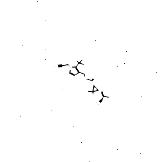 C#CCn1ccc(COC(=O)[C@@H]2[C@H](/C=C(/F)C#N)C2(C)C)c1C(F)(F)F